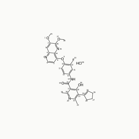 COc1cc2nccc(Oc3ccc(NC(=O)c4c(C)nc(C)c(C5=CCCC5)c4O)cc3F)c2nc1OC.Cl